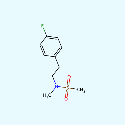 CN(CCc1ccc(F)cc1)S(C)(=O)=O